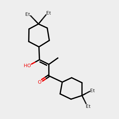 CCC1(CC)CCC(C(=O)/C(C)=C(\O)C2CCC(CC)(CC)CC2)CC1